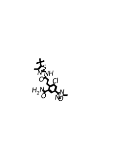 Cc1nc(-c2cc(Cl)c(CCC(=O)Nc3nc(C)c(C(C)(C)C)s3)c(C(N)=O)c2)no1